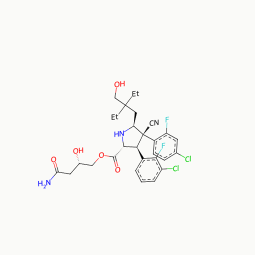 CCC(CC)(CO)C[C@@H]1N[C@@H](C(=O)OC[C@@H](O)CC(N)=O)[C@H](c2cccc(Cl)c2F)[C@@]1(C#N)c1ccc(Cl)cc1F